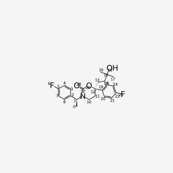 C[C@@H](c1ccc(F)cc1)N1CC[C@](CCC(C)(C)O)(c2ccc(F)cc2)OC1=O